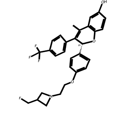 CC1=C(c2ccc(C(F)(F)F)cc2)[C@@H](c2ccc(OCCN3CC(CF)C3)cc2)Oc2ccc(O)cc21